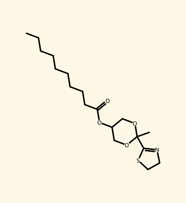 CCCCCCCCCC(=O)OC1COC(C)(C2=NCCS2)OC1